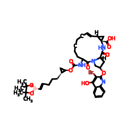 CC1(C)OB(/C=C/CCC[C@@H]2C[C@H]2OC(=O)NC2CCCCC/C=C/[C@@H]3C[C@@]3(C(=O)O)NC(=O)[C@@H]3C[C@@H](Oc4nc5ccccc5c(O)c4Br)CN3C2=O)OC1(C)C